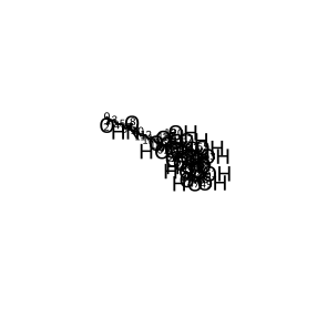 CC(=O)CCCCC(=O)NCCCCCOC1OC(CO)C(OC2OC(C(=O)O)C(O)C(OC3OC(CO)C(OC4OC(C(=O)O)C(O)C(O)C4O)C(O)C3O)C2O)C(O)C1O